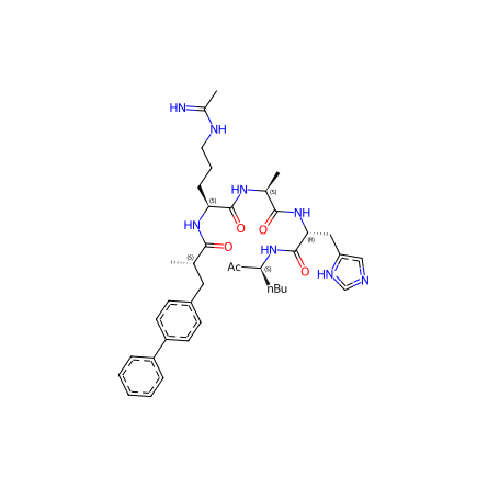 CCCC[C@H](NC(=O)[C@@H](Cc1cnc[nH]1)NC(=O)[C@H](C)NC(=O)[C@H](CCCNC(C)=N)NC(=O)[C@@H](C)Cc1ccc(-c2ccccc2)cc1)C(C)=O